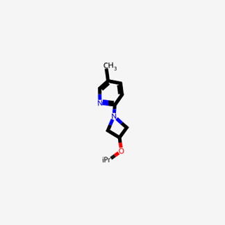 Cc1ccc(N2CC(OC(C)C)C2)nc1